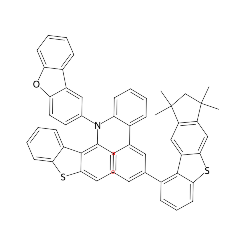 CC1(C)CC(C)(C)c2cc3c(cc21)sc1cccc(-c2cccc(-c4ccccc4N(c4ccc5oc6ccccc6c5c4)c4cccc5sc6ccccc6c45)c2)c13